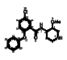 CO[C@H]1CNCC[C@H]1NC(=O)c1cc(Cl)ccc1Oc1ccccc1